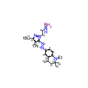 CCN1c2ccc(/N=N/c3c(C#N)c(C(C)(C)C)nn3CCNP)cc2C(C)CC1(C)C